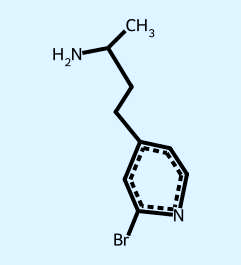 CC(N)CCc1ccnc(Br)c1